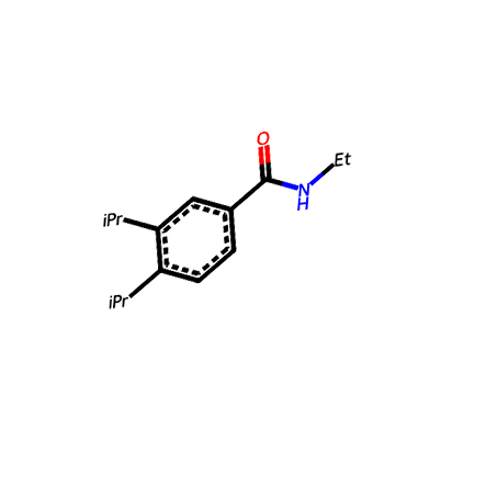 CCNC(=O)c1ccc(C(C)C)c(C(C)C)c1